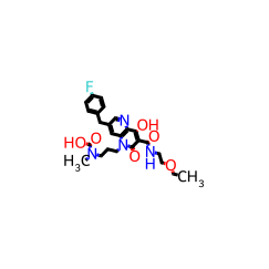 CCOCCNC(=O)c1c(O)c2ncc(Cc3ccc(F)cc3)cc2n(CCCN(C)C(=O)O)c1=O